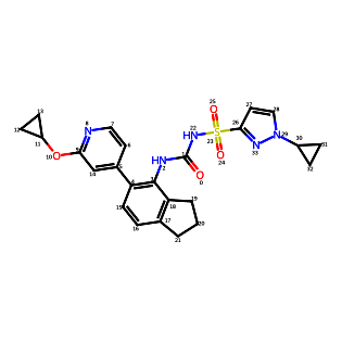 O=C(Nc1c(-c2ccnc(OC3CC3)c2)ccc2c1CCC2)NS(=O)(=O)c1ccn(C2CC2)n1